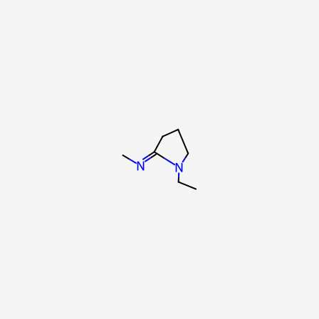 CCN1CCC/C1=N\C